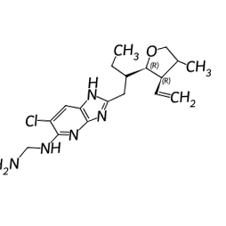 C=C[C@@H]1C(C)CO[C@@H]1C(CC)Cc1nc2nc(NCN)c(Cl)cc2[nH]1